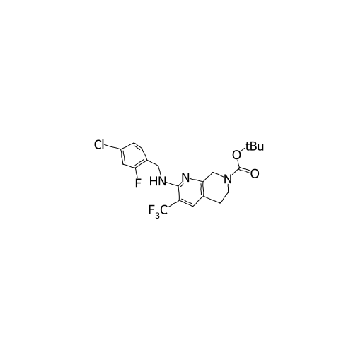 CC(C)(C)OC(=O)N1CCc2cc(C(F)(F)F)c(NCc3ccc(Cl)cc3F)nc2C1